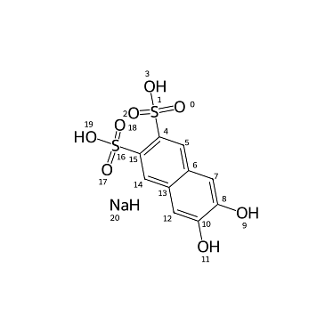 O=S(=O)(O)c1cc2cc(O)c(O)cc2cc1S(=O)(=O)O.[NaH]